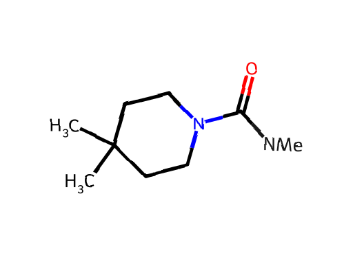 CNC(=O)N1CCC(C)(C)CC1